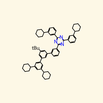 CC(C)(C)c1cc(-c2cccc(-c3nc(-c4cccc(C5CCCCC5)c4)nc(-c4cccc(C5CCCCC5)c4)n3)c2)cc(-c2cc(C3CCCCC3)cc(C3CCCCC3)c2)c1